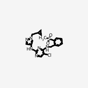 CS(=O)(=O)c1ccccc1CNc1nc(Nc2cnn(CC3CC3)c2)ncc1Cl